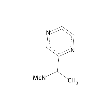 CNC(C)c1cnccn1